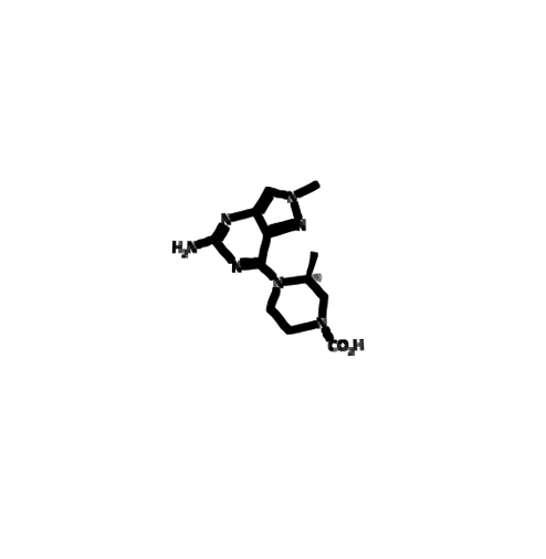 C[C@H]1CN(C(=O)O)CCN1c1nc(N)nc2cn(C)nc12